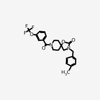 Cc1ccc(CN2CC3(CCN(C(=O)c4cccc(OC(F)(F)F)c4)CC3)OC2=O)cc1